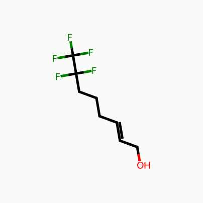 OC/C=C/CCCC(F)(F)C(F)(F)F